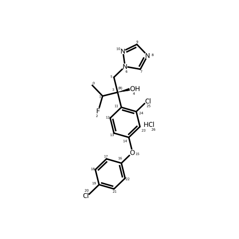 CC(F)[C@](O)(Cn1cncn1)c1ccc(Oc2ccc(Cl)cc2)cc1Cl.Cl